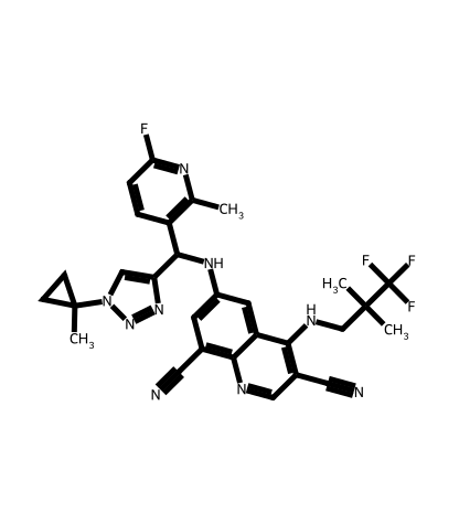 Cc1nc(F)ccc1C(Nc1cc(C#N)c2ncc(C#N)c(NCC(C)(C)C(F)(F)F)c2c1)c1cn(C2(C)CC2)nn1